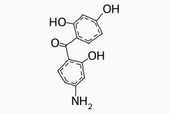 Nc1ccc(C(=O)c2ccc(O)cc2O)c(O)c1